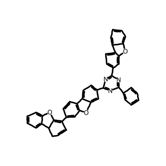 C1=CC(c2ccc3c(c2)oc2cc(-c4nc(-c5ccccc5)nc(-c5ccc6c(c5)oc5ccccc56)n4)ccc23)=C2Oc3ccccc3C2C1